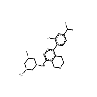 CN1C[C@H](F)C[C@@H](Nc2nnc(-c3ccc(C(F)F)cc3O)c3c2COCC3)C1